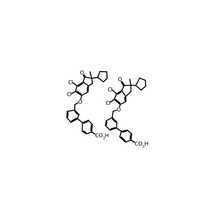 CC1(C2CCCC2)Cc2cc(OCc3cccc(-c4ccc(C(=O)O)cc4)c3)c(Cl)c(Cl)c2C1=O.CC1(C2CCCC2)Cc2cc(OCc3cccc(-c4ccc(C(=O)O)cc4)c3)c(Cl)c(Cl)c2C1=O